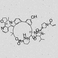 C=CC(=O)N1CC[C@H](C(=O)N(C)C(C(=O)N[C@H]2Cc3cc(O)cc(c3)-c3ccc4c(c3)c(c(-c3cccnc3[C@@H]3CCCO3)n4CC)CC(C)(C)COC(=O)[C@@H]3CCCN(N3)C2=O)C(C)C)C1